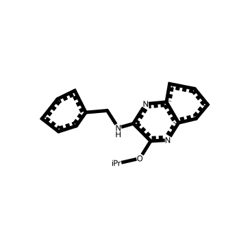 CC(C)Oc1nc2ccccc2nc1NCc1ccccc1